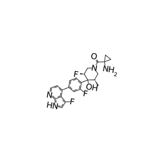 C[C@@H]1CN(C(=O)C2(N)CC2)C[C@H](C)C1(O)c1c(F)cc(-c2ccnc3[nH]cc(F)c23)cc1F